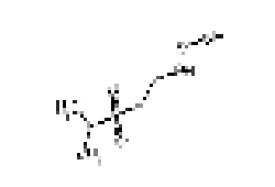 CC(C)S(=O)(=O)CCNSS